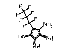 N=c1c(N)c(C(F)(F)C(F)(F)C(F)(F)F)c(=N)c1=N